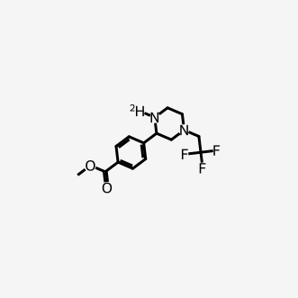 [2H]N1CCN(CC(F)(F)F)CC1c1ccc(C(=O)OC)cc1